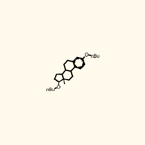 CCCCOc1ccc2c(c1)CCC1C2CC[C@@]2(C)C1CC[C@@H]2OCCCC